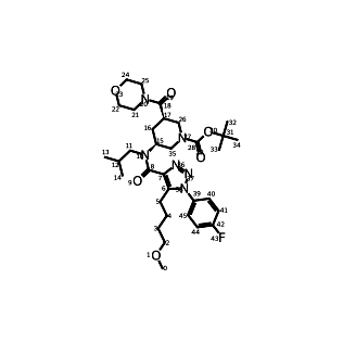 COCCCCc1c(C(=O)N(CC(C)C)[C@H]2C[C@@H](C(=O)N3CCOCC3)CN(C(=O)OC(C)(C)C)C2)nnn1-c1ccc(F)cc1